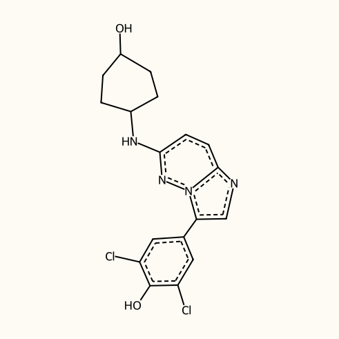 Oc1c(Cl)cc(-c2cnc3ccc(NC4CCC(O)CC4)nn23)cc1Cl